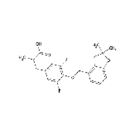 CC(Cc1cc(F)c(OCc2cccc3c2CC(C)(C)O3)c(F)c1)C(=O)O